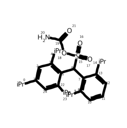 CC(C)c1cc(C(C)C)c(C(c2c(C(C)C)cccc2C(C)C)S(=O)(=O)OC(N)=O)c(C(C)C)c1